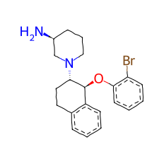 N[C@H]1CCCN([C@H]2CCc3ccccc3[C@@H]2Oc2ccccc2Br)C1